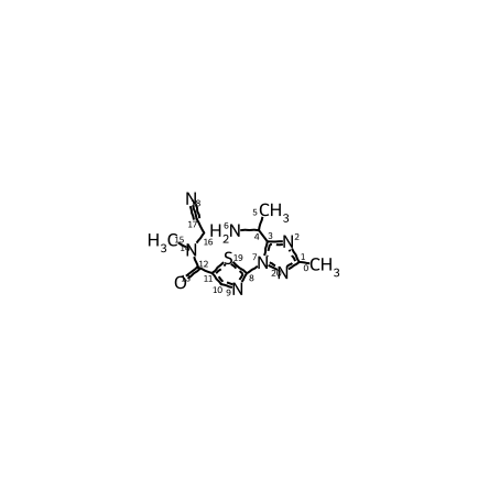 Cc1nc(C(C)N)n(-c2ncc(C(=O)N(C)CC#N)s2)n1